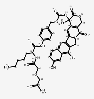 CCc1c2c(nc3ncc(O)cc13)-c1cc3c(c(=O)n1C2)COC(=O)C3(CC)OC(=O)OCc1ccc(NC(=O)C(CCCCN)NC(=O)COCC(N)=O)cc1